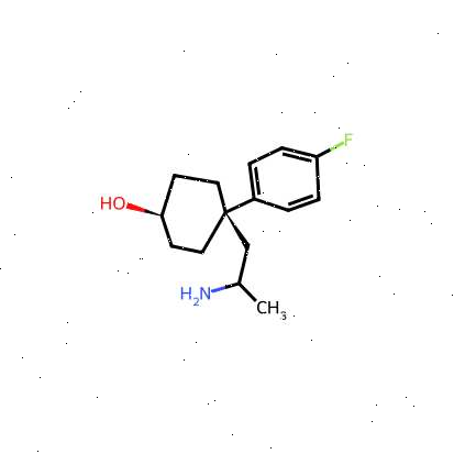 CC(N)C[C@]1(c2ccc(F)cc2)CC[C@H](O)CC1